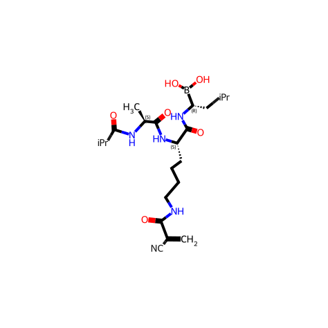 C=C(C#N)C(=O)NCCCC[C@H](NC(=O)[C@H](C)NC(=O)C(C)C)C(=O)N[C@@H](CC(C)C)B(O)O